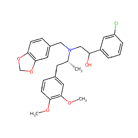 COc1ccc(C[C@@H](C)N(Cc2ccc3c(c2)OCO3)CC(O)c2cccc(Cl)c2)cc1OC